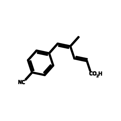 CC(C=CC(=O)O)=Cc1ccc(C#N)cc1